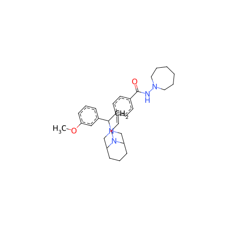 C=CCN1C2CCCC1CN(C(c1ccc(C(=O)NN3CCCCCC3)cc1)c1cccc(OC)c1)C2